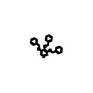 [c]1ncc(OCc2ccccc2)c(OCc2ccccc2)c1OCc1ccccc1